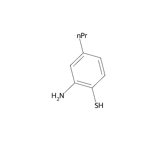 CCCc1ccc(S)c(N)c1